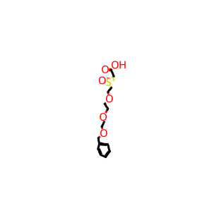 O=C(O)C[S+]([O-])CCOCCOCCOCc1ccccc1